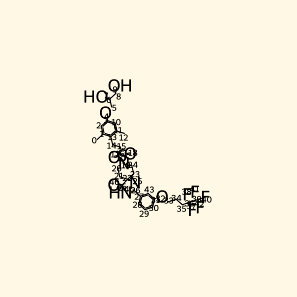 Cc1cc(OCC(O)CO)cc(C)c1CCS(=O)(=O)N1CCC2(CC1)N=C(c1cccc(OCCCC(F)(F)C(F)(F)F)c1)NC2=O